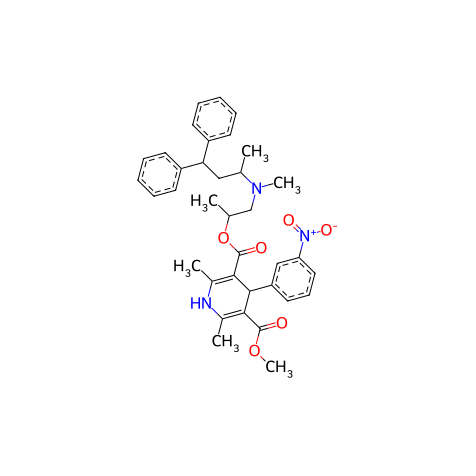 COC(=O)C1=C(C)NC(C)=C(C(=O)OC(C)CN(C)C(C)CC(c2ccccc2)c2ccccc2)C1c1cccc([N+](=O)[O-])c1